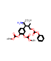 CCCOC(=O)Oc1ccc(C(C(C)COC(=O)Oc2ccccc2)[C@H](N)C(=O)O)cc1OC(=O)OCCC